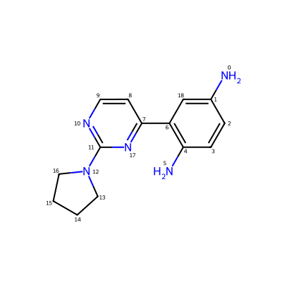 Nc1ccc(N)c(-c2ccnc(N3CCCC3)n2)c1